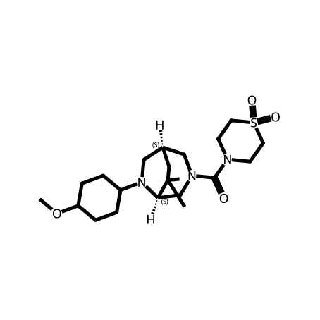 COC1CCC(N2C[C@H]3CN(C(=O)N4CCS(=O)(=O)CC4)C[C@@H]2C(C)(C)C3)CC1